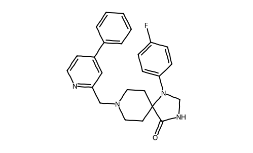 O=C1NCN(c2ccc(F)cc2)C12CCN(Cc1cc(-c3ccccc3)ccn1)CC2